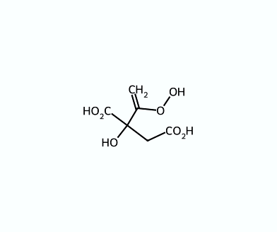 C=C(OO)C(O)(CC(=O)O)C(=O)O